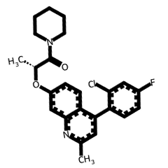 Cc1cc(-c2ccc(F)cc2Cl)c2ccc(O[C@H](C)C(=O)N3CCCCC3)cc2n1